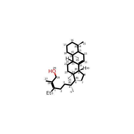 CCC(CC[C@@H](C)[C@H]1CC[C@H]2C3=CCC4[C@H](C)CCC[C@]4(C)[C@H]3CC[C@]12C)=C(C)CO